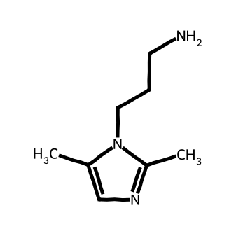 Cc1cnc(C)n1CCCN